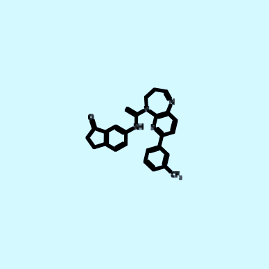 C=C(Nc1ccc2c(c1)C(=O)CC2)N1CCC=Nc2ccc(-c3cccc(C(F)(F)F)c3)nc21